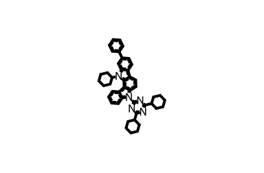 c1ccc(-c2ccc3c4ccc5c(c6ccccc6n5-c5nc(C6CCCCC6)nc(C6CCCCC6)n5)c4n(C4CCCCC4)c3c2)cc1